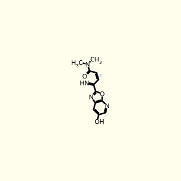 CN(C)C(=O)/C=C\C(=N)c1nc2cc(O)cnc2o1